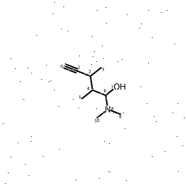 C#CC(C)C(C)C(O)N(C)C